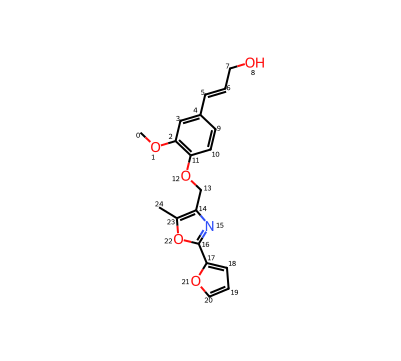 COc1cc(C=CCO)ccc1OCc1nc(-c2ccco2)oc1C